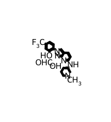 CN1CCC[C@@H](Nc2ccc3cn(-c4ccc(C(F)(F)F)cc4O)nc3n2)C1.O=CO